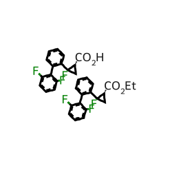 CCOC(=O)[C@@H]1C[C@@]1(F)c1ccccc1-c1c(F)cccc1F.O=C(O)[C@@H]1C[C@@]1(F)c1ccccc1-c1c(F)cccc1F